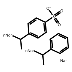 CCCCCCCCCC(C)c1ccc(S(=O)(=O)[O-])cc1.CCCCCCCCCC(C)c1ccccc1.[Na+]